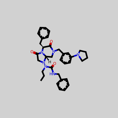 CCCN(C(=O)NCc1ccccc1)N1CC(=O)N2[C@@H](Cc3ccccc3)C(=O)N(Cc3cccc(N4CCCC4)c3)C[C@@H]21